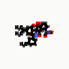 Cc1cccc(C(=O)NC23C(=O)c4c([N+](=O)[O-])cccc4C2(O)Oc2cc(C(C)C)ccc23)c1